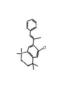 CC(=Cc1ccccc1)c1cc2c(cc1Cl)C(C)(C)CCC2(C)C